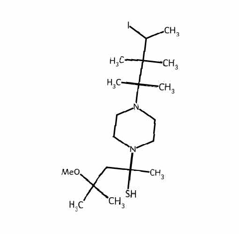 COC(C)(C)CC(C)(S)N1CCN(C(C)(C)C(C)(C)C(C)I)CC1